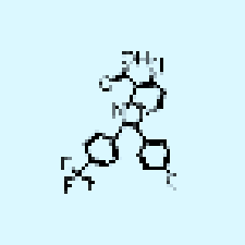 O=C(O)c1c(Cl)ccn2c(-c3ccc(Cl)cc3)c(-c3ccc(C(F)(F)F)cc3)nc12